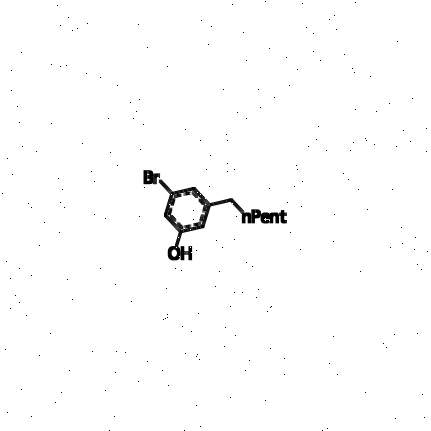 CCCCCCc1cc(O)cc(Br)c1